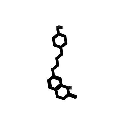 CCCCN1CCN(CCCOc2ccc3c(c2)NC(=O)CC3)CC1